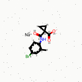 Cc1cc(Br)ccc1NC(=O)C1(C(=O)[O-])CC1.[Na+]